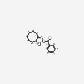 O=C(ON=C1CCCCCCC1Cl)c1ccccc1